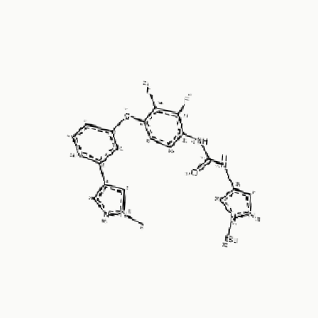 Cn1cc(-c2cc(Oc3ccc(NC(=O)Nc4cnn(C(C)(C)C)c4)c(F)c3F)ccn2)cn1